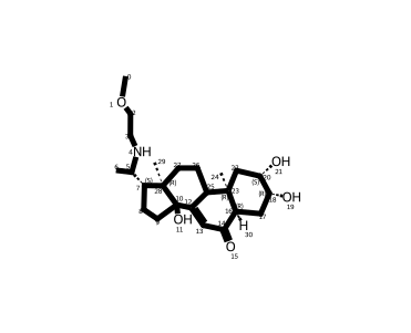 COCCNC(C)[C@H]1CCC2(O)C3=CC(=O)[C@@H]4C[C@@H](O)[C@@H](O)C[C@]4(C)C3CC[C@]12C